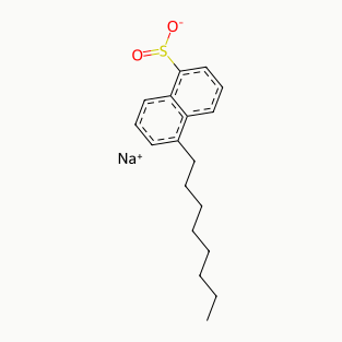 CCCCCCCCc1cccc2c(S(=O)[O-])cccc12.[Na+]